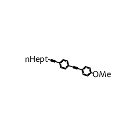 CCCCCCCC#Cc1ccc(C#Cc2ccc(OC)cc2)cc1